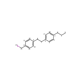 CCCc1ccc(CCc2ccc(CI)cc2)cc1